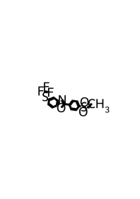 CCS(=O)(=O)c1ccc(-c2nc3cc(SC(F)(F)F)ccc3o2)cc1